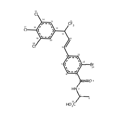 CC(NC(=O)c1ccc(C=CC(c2cc(Cl)c(Cl)c(Cl)c2)C(F)(F)F)cc1Br)C(=O)O